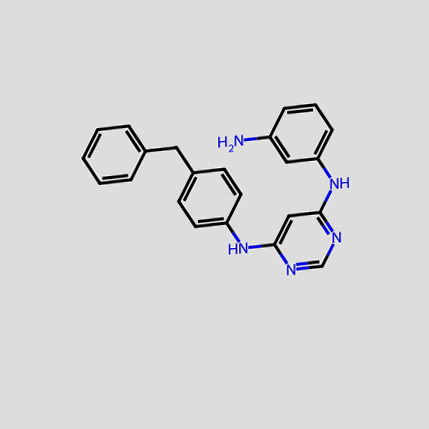 Nc1cccc(Nc2cc(Nc3ccc(Cc4ccccc4)cc3)ncn2)c1